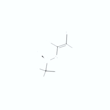 CC(C)(C)[S@@+]([O-])NC(F)=C(F)F